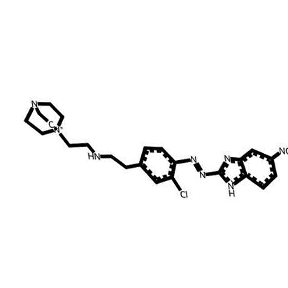 O=[N+]([O-])c1ccc2[nH]c(N=Nc3ccc(CCNCC[N+]45CCN(CC4)CC5)cc3Cl)nc2c1